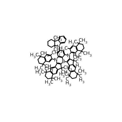 Cc1cc2c(cc1N1C3=C(B4C5=C(N(c6cc7c(cc6C)C(C)(C)CCC7(C)C)c6cc(N7c8ccccc8C8(C)CCCCC78C)cc1c64)C(C)(C)c1cc4c(cc15)C(C)(C)CCC4(C)C)C(C)(C)c1cc4c(cc13)C(C)(C)CCC4(C)C)C(C)(C)CCC2(C)C